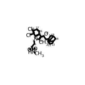 CNS(=O)(=O)CCCn1c(C)c(C(=O)CC23CC4CC(CC(C4)C2)C3)c2ccc(Cl)c(Cl)c21